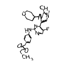 CCS(=O)(=O)c1ccc(Nc2ncc(F)c(-c3cnc(C)n3C3CCOCC3)n2)cc1